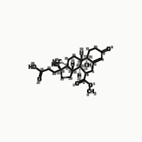 COC(=O)C1CC2=CC(=O)CC[C@]2(C)[C@H]2CC[C@@]3(C)[C@@H](CC[C@]3(O)CCC(=O)O)[C@H]12